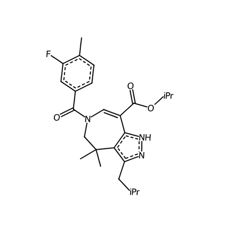 Cc1ccc(C(=O)N2C=C(C(=O)OC(C)C)c3[nH]nc(CC(C)C)c3C(C)(C)C2)cc1F